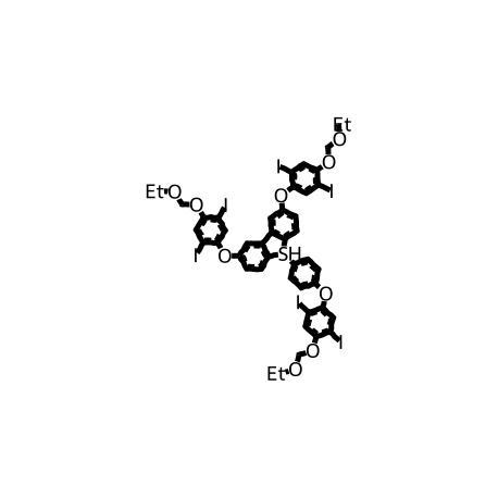 CCOCOc1cc(I)c(Oc2ccc([SH]3c4ccc(Oc5cc(I)c(OCOCC)cc5I)cc4-c4cc(Oc5cc(I)c(OCOCC)cc5I)ccc43)cc2)cc1I